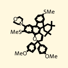 COc1ccc(C2(c3ccc(OC)cc3)C=Cc3c4c(c5cc(N6CCOCC6)c(SC)cc5c3O2)-c2ccc(SC)cc2C42CC(C)(C)CC(C)(C)C2)cc1